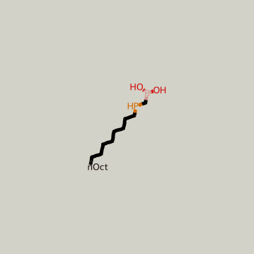 CCCCCCCCCCCCCCCCPCB(O)O